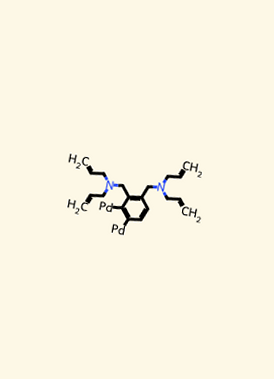 C=CCN(CC=C)Cc1cc[c]([Pd])[c]([Pd])c1CN(CC=C)CC=C